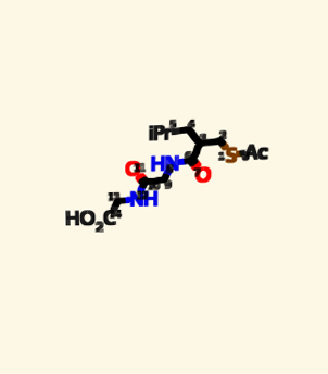 CC(=O)SCC(CC(C)C)C(=O)NCC(=O)NCC(=O)O